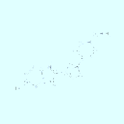 COc1ccc(C23CC(C2)C(c2nc4ccc(C)cc4o2)C3)cc1